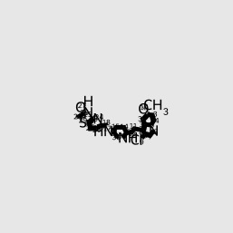 COc1ccc2ncc(Cl)c(CCC3CCC(NCc4ccc5c(n4)NC(=O)CS5)CN3)c2c1